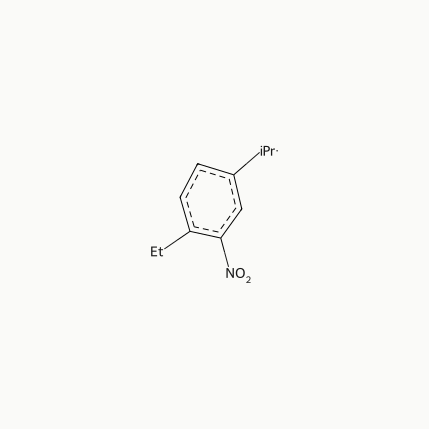 CCc1ccc([C](C)C)cc1[N+](=O)[O-]